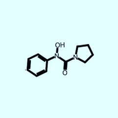 O=C(N1CCCC1)N(O)c1cc[c]cc1